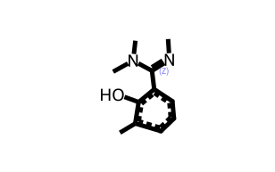 C/N=C(/c1cccc(C)c1O)N(C)C